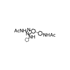 CC(=O)Nc1ccc(-c2ccc3nc(NC(C)=O)nc(NC4CCCC4)c3c2)cc1